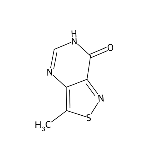 Cc1snc2c(=O)[nH]cnc12